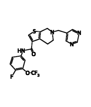 O=C(Nc1ccc(F)c(OC(F)(F)F)c1)c1csc2c1CCN(Cc1cncnc1)C2